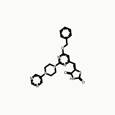 O=C1NC(=O)/C(=C\c2cc(OCc3ccccc3)nc(N3CCN(c4cncnc4)CC3)n2)S1